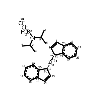 BN(C(C)C)C(C)C.C1=C[C@H]([Zr+2][C@@H]2C=Cc3ccccc32)c2ccccc21.[Cl-].[Cl-]